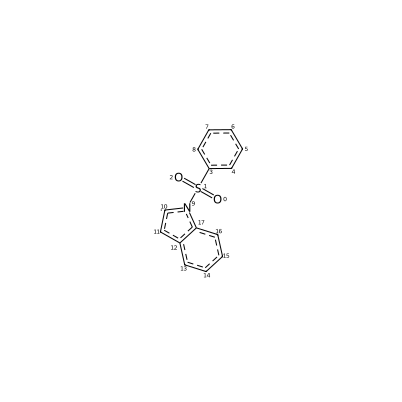 O=S(=O)(c1ccccc1)n1[c]cc2ccccc21